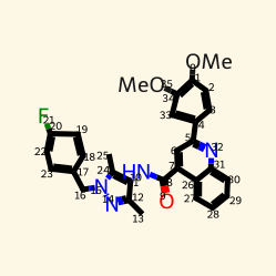 COc1ccc(-c2cc(C(=O)Nc3c(C)nn(Cc4ccc(F)cc4)c3C)c3ccccc3n2)cc1OC